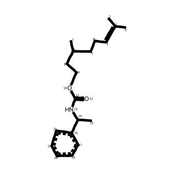 CC(C)=CCCC(C)CCOC(=O)NC(C)c1ccccc1